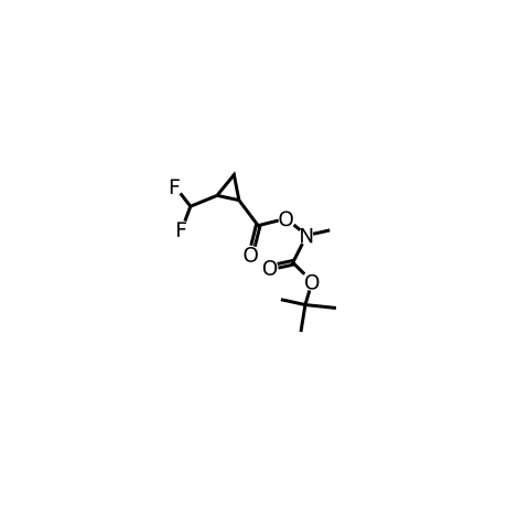 CN(OC(=O)C1CC1C(F)F)C(=O)OC(C)(C)C